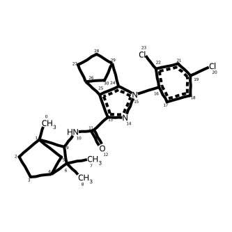 CC12CCC(C1)C(C)(C)C2NC(=O)c1nn(-c2ccc(Cl)cc2Cl)c2c1C1CCC2C1